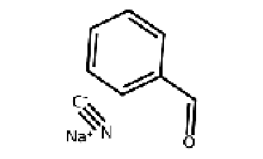 O=Cc1ccccc1.[C-]#N.[Na+]